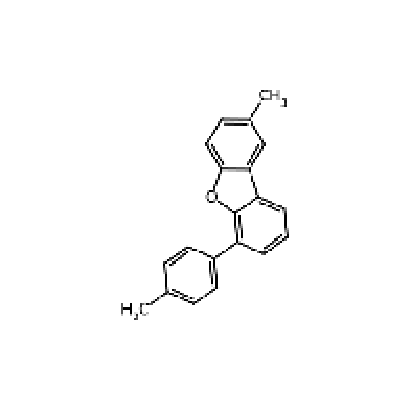 Cc1ccc(-c2cccc3c2oc2ccc(C)cc23)cc1